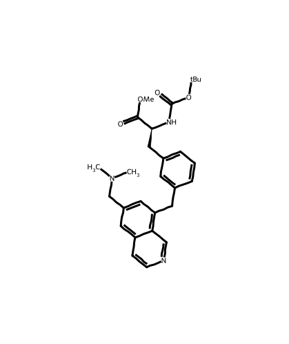 COC(=O)[C@H](Cc1cccc(Cc2cc(CN(C)C)cc3ccncc23)c1)NC(=O)OC(C)(C)C